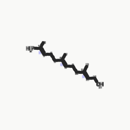 C/C(P)=C\CC/C(C)=C/CC/C(C)=C/CO